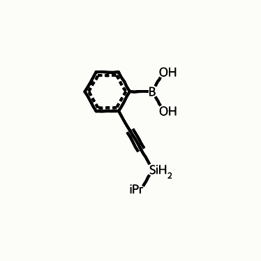 CC(C)[SiH2]C#Cc1ccccc1B(O)O